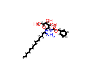 CCCCCCCCCCCCCC(N)[C@@H]1O[C@H](CO)[C@@H](O)[C@H](O)[C@H]1NC(=O)OCc1ccccc1